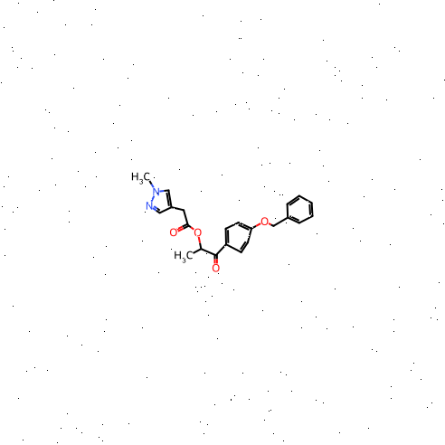 CC(OC(=O)Cc1cnn(C)c1)C(=O)c1ccc(OCc2ccccc2)cc1